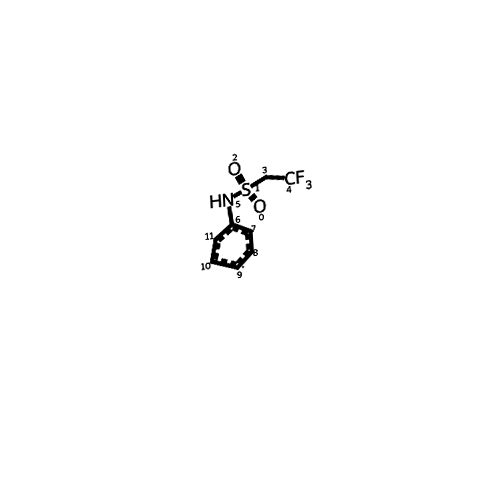 O=S(=O)(CC(F)(F)F)Nc1cc[c]cc1